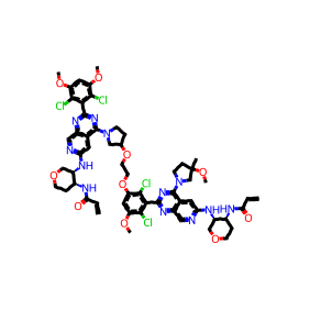 C=CC(=O)N[C@H]1CCOC[C@H]1Nc1cc2c(N3CCC(OCCOc4cc(OC)c(Cl)c(-c5nc(N6CCC(C)(OC)C6)c6cc(N[C@@H]7COCC[C@@H]7NC(=O)C=C)ncc6n5)c4Cl)C3)nc(-c3c(Cl)c(OC)cc(OC)c3Cl)nc2cn1